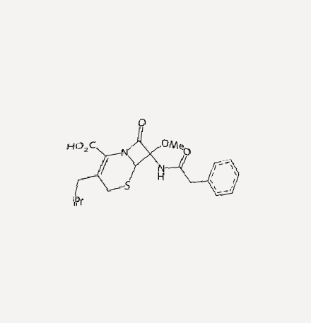 COC1(NC(=O)Cc2ccccc2)C(=O)N2C(C(=O)O)=C(CC(C)C)CSC21